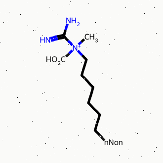 CCCCCCCCCCCCCCC[N+](C)(C(=N)N)C(=O)O